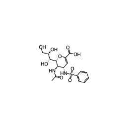 CC(=O)N[C@H]1[C@H]([C@H](O)[C@H](O)CO)OC(C(=O)O)=C[C@@H]1NS(=O)(=O)c1ccccc1